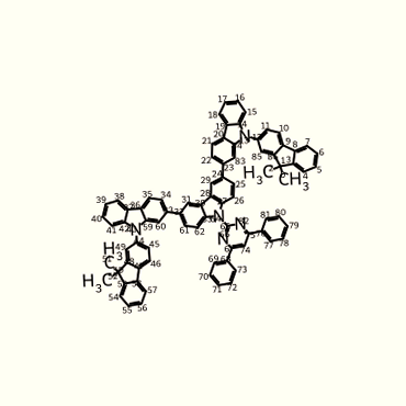 CC1(C)c2ccccc2-c2ccc(-n3c4ccccc4c4ccc(-c5ccc6c(c5)c5cc(-c7ccc8c9ccccc9n(-c9ccc%10c(c9)C(C)(C)c9ccccc9-%10)c8c7)ccc5n6-c5nc(-c6ccccc6)cc(-c6ccccc6)n5)cc43)cc21